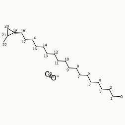 CCCCCCCCCCCCCCCCCCC=C1CC1C.[C-]#[O+]